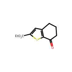 CCOC(=O)c1cc2c(s1)C(=O)CCC2